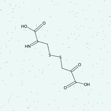 N=C(CSSCC(=O)C(=O)O)C(=O)O